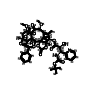 CO[C@H]1C(=O)[C@]2(C)[C@@H](OC)C[C@H]3OC[C@@]3(OC(C)=O)[C@H]2[C@H](OC(=O)c2ccccc2)[C@]23OC(=O)O[C@H]2[C@H](OC(=O)[C@H](O)[C@@H](NC(=O)OC(C)(C)C)c2ccccn2)C(C)=C1C3(C)C